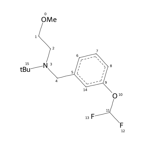 COCCN(Cc1cccc(OC(F)F)c1)C(C)(C)C